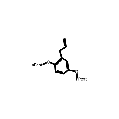 C=CCc1cc(OCCCCC)ccc1OCCCCC